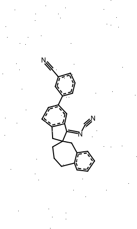 N#CN=C1c2cc(-c3cccc(C#N)c3)ccc2CC12CCCc1ccccc1C2